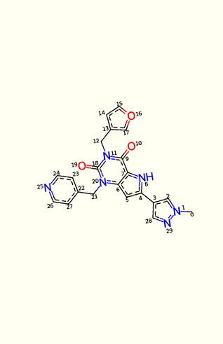 Cn1cc(-c2cc3c([nH]2)c(=O)n(Cc2ccoc2)c(=O)n3Cc2ccncc2)cn1